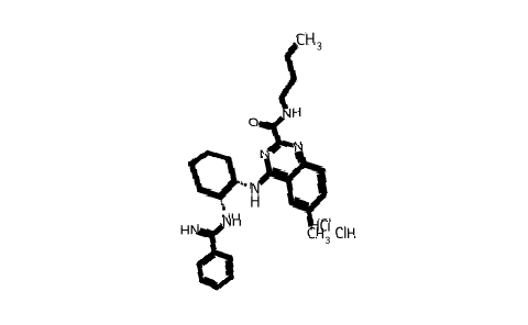 CCCCNC(=O)c1nc(N[C@H]2CCCC[C@H]2NC(=N)c2ccccc2)c2cc(C)ccc2n1.Cl.Cl